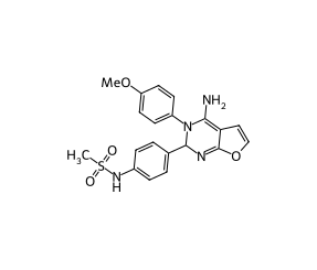 COc1ccc(N2C(N)=c3ccoc3=NC2c2ccc(NS(C)(=O)=O)cc2)cc1